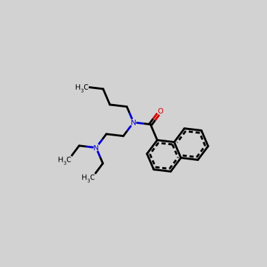 CCCCN(CCN(CC)CC)C(=O)c1cccc2ccccc12